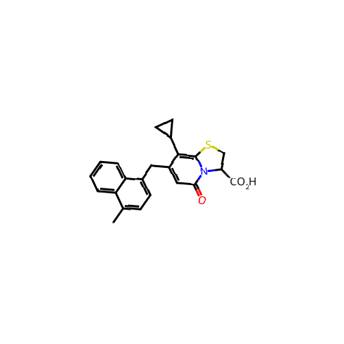 Cc1ccc(Cc2cc(=O)n3c(c2C2CC2)SCC3C(=O)O)c2ccccc12